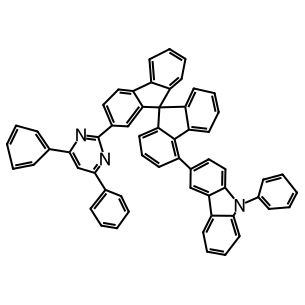 c1ccc(-c2cc(-c3ccccc3)nc(-c3ccc4c(c3)C3(c5ccccc5-4)c4ccccc4-c4c(-c5ccc6c(c5)c5ccccc5n6-c5ccccc5)cccc43)n2)cc1